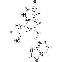 CC(CO)Nc1nc(SCc2cccc3c2OCO3)nc2[nH]c(=O)cnc12